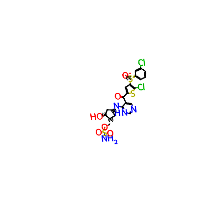 NS(=O)(=O)OC[C@H]1C[C@@H](Nc2ncncc2C(=O)c2cc([S@@+]([O-])c3cccc(Cl)c3)c(Cl)s2)C[C@@H]1O